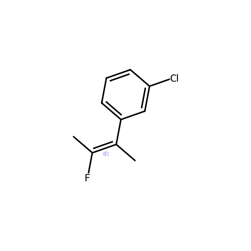 C/C(F)=C(/C)c1cccc(Cl)c1